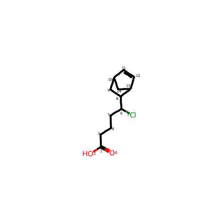 O=C(O)CCCC(Cl)C1CC2C=CC1C2